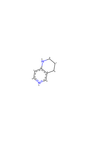 c1cc2c(cn1)CCC[N]2